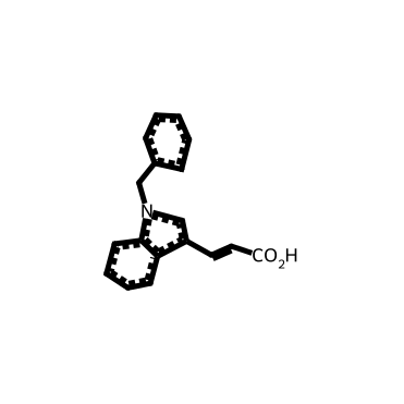 O=C(O)C=Cc1cn(Cc2ccccc2)c2ccccc12